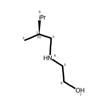 CC(C)[C@H](C)CNCCO